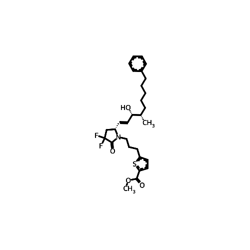 COC(=O)c1ccc(CCCN2C(=O)C(F)(F)C[C@@H]2C=C[C@H](O)[C@@H](C)CCCCCc2ccccc2)s1